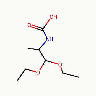 CCOC(OCC)C(C)NC(=O)O